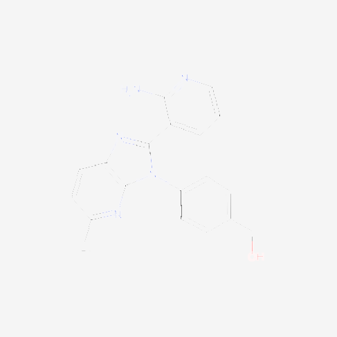 CCc1ccc2nc(-c3cccnc3N)n(-c3ccc(CO)cc3)c2n1